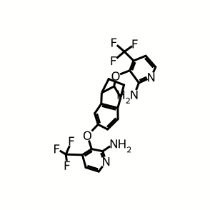 Nc1nccc(C(F)(F)F)c1Oc1ccc2c(c1)C1CCC2C1Oc1c(C(F)(F)F)ccnc1N